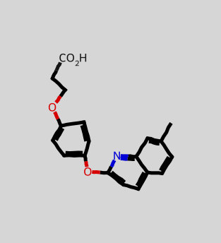 Cc1ccc2ccc(Oc3ccc(OCCC(=O)O)cc3)nc2c1